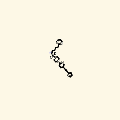 O=S(=O)(/C=C\CCCc1ncccn1)N1CCN(c2ccc(C#Cc3cccs3)cn2)CC1